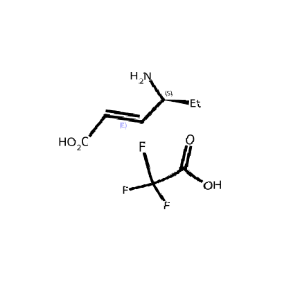 CC[C@H](N)/C=C/C(=O)O.O=C(O)C(F)(F)F